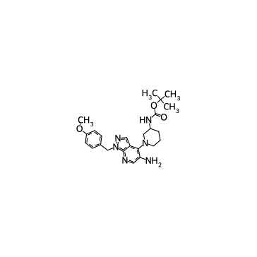 COc1ccc(Cn2ncc3c(N4CCCC(NC(=O)OC(C)(C)C)C4)c(N)cnc32)cc1